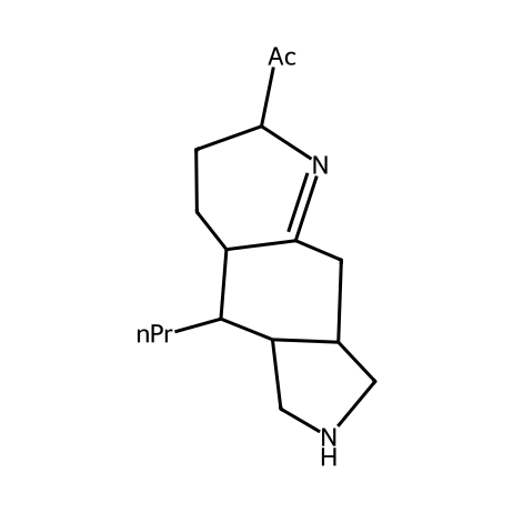 CCCC1C2CCC(C(C)=O)N=C2CC2CNCC21